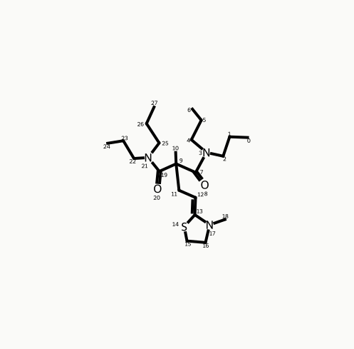 CCCN(CCC)C(=O)C(C)(C/C=C1\SCCN1C)C(=O)N(CCC)CCC